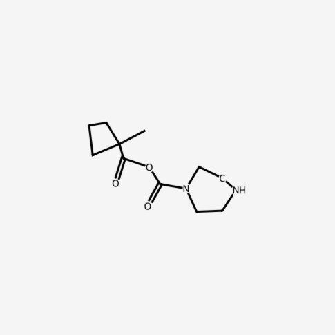 CC1(C(=O)OC(=O)N2CCNCC2)CCC1